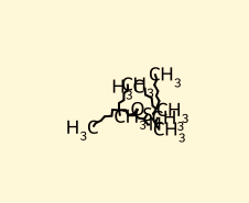 CCCCCCC(C)(CCCCC)CCC(=O)CC(CN(C)C)SCC(C)(CCCCC)CCCCCC